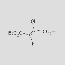 CCOC(=O)/C(O)=C(\F)C(=O)OCC